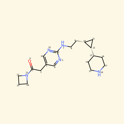 O=C(Cc1cnc(NCC[C@@H]2C[C@@H]2C2CCNCC2)nc1)N1CCC1